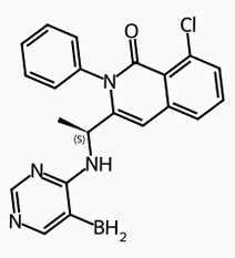 Bc1cncnc1N[C@@H](C)c1cc2cccc(Cl)c2c(=O)n1-c1ccccc1